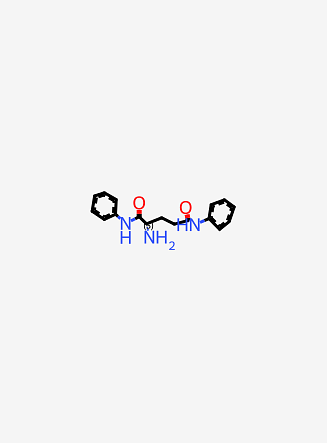 N[C@@H](CCC(=O)Nc1ccccc1)C(=O)Nc1ccccc1